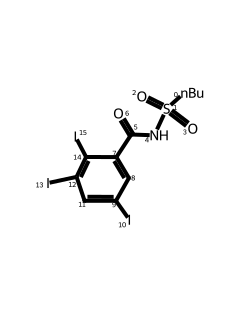 CCCCS(=O)(=O)NC(=O)c1cc(I)cc(I)c1I